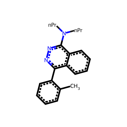 CCCN(CCC)c1nnc(-c2ccccc2C)c2ccccc12